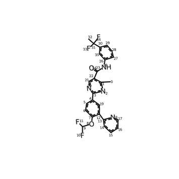 Cc1nc(-c2ccc(OC(F)F)c(-c3ccccn3)c2)ncc1C(=O)Nc1cccc(C(C)(F)F)c1